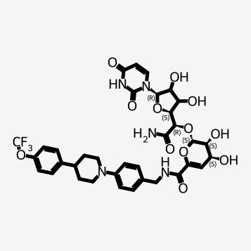 NC(=O)[C@H](O[C@H]1OC(C(=O)NCc2ccc(N3CCC(c4ccc(OC(F)(F)F)cc4)CC3)cc2)=C[C@H](O)[C@@H]1O)[C@H]1O[C@@H](n2ccc(=O)[nH]c2=O)C(O)C1O